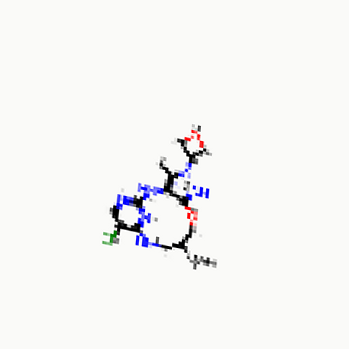 COC1CNc2nc(ncc2Cl)N/C(=C(\C)NC2COC2)C(=N)OC1